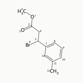 COC(=O)CC(Br)c1cccc(C)c1